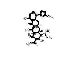 Cc1ccc(-c2ccc(O)c3c2C[C@H]2C[C@@H]4[C@@H](N(C)C)C(O)=C(C(N)=O)C(=O)[C@@]4(O)C(O)=C2C3=O)o1